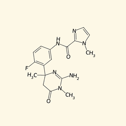 CN1C(=O)CC(C)(c2cc(NC(=O)c3nccn3C)ccc2F)N=C1N